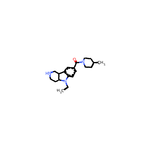 CCN1c2ccc(C(=O)N3CCC(C)CC3)cc2C2CNCCC21